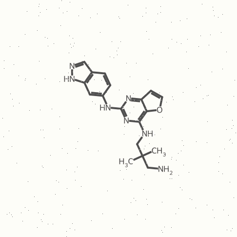 CC(C)(CN)CNc1nc(Nc2ccc3cn[nH]c3c2)nc2ccoc12